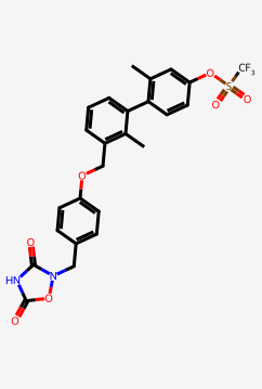 Cc1cc(OS(=O)(=O)C(F)(F)F)ccc1-c1cccc(COc2ccc(Cn3oc(=O)[nH]c3=O)cc2)c1C